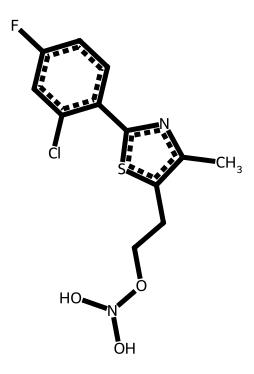 Cc1nc(-c2ccc(F)cc2Cl)sc1CCON(O)O